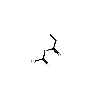 CCC(=O)OC(=O)O